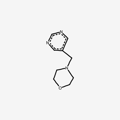 c1ncc(CN2CCOCC2)cn1